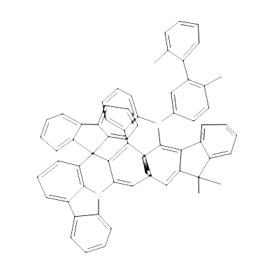 CCc1ccccc1-c1cc(N(c2ccccc2-c2cccc3c2C2(c4ccccc4-c4ccccc42)c2cccc4c5ccccc5n-3c24)c2cccc3c2-c2ccccc2C3(C)C)ccc1CC